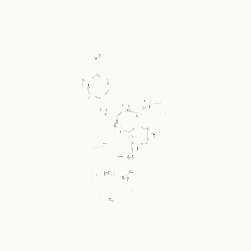 COc1ccc(Nc2nc(N)c3ncn([C@@H]4O[C@H](CO)[C@@H](O)[C@H]4O)c3n2)cn1